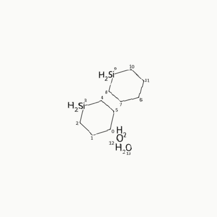 C1CC[SiH2]CC1.C1CC[SiH2]CC1.O.O